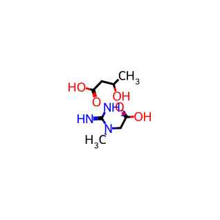 CC(O)CC(=O)O.CN(CC(=O)O)C(=N)N